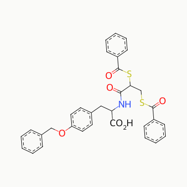 O=C(SCC(SC(=O)c1ccccc1)C(=O)NC(Cc1ccc(OCc2ccccc2)cc1)C(=O)O)c1ccccc1